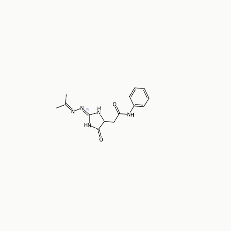 CC(C)=N/N=C1\NC(=O)C(CC(=O)Nc2ccccc2)N1